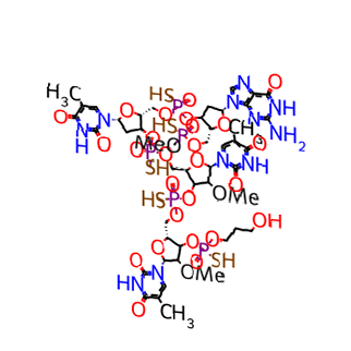 COC1C(OP(=O)(S)OC[C@H]2O[C@@H](n3cc(C)c(=O)[nH]c3=O)C(OC)C2OP(=O)(S)OCCCO)[C@@H](COP(=O)(S)OC2C[C@H](n3cc(C)c(=O)[nH]c3=O)O[C@@H]2COP(=O)(S)OC2C[C@H](n3cnc4c(=O)[nH]c(N)nc43)O[C@@H]2COP(=O)(S)OC)O[C@H]1n1cc(C)c(=O)[nH]c1=O